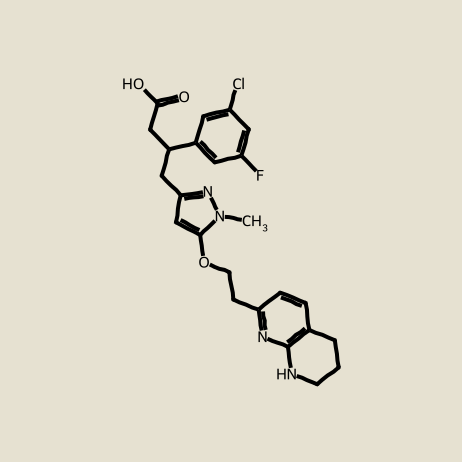 Cn1nc(CC(CC(=O)O)c2cc(F)cc(Cl)c2)cc1OCCc1ccc2c(n1)NCCC2